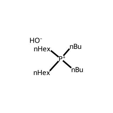 CCCCCC[P+](CCCC)(CCCC)CCCCCC.[OH-]